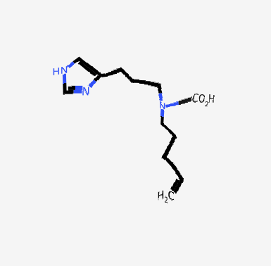 C=CCCCN(CCCc1c[nH]cn1)C(=O)O